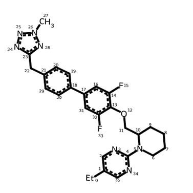 CCc1cnc(N2CCCCC2COc2c(F)cc(-c3ccc(Cc4nnn(C)n4)cc3)cc2F)nc1